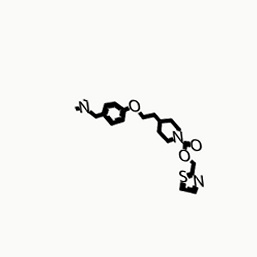 CN(C)Cc1ccc(OCCC2CCN(C(=O)OCc3nccs3)CC2)cc1